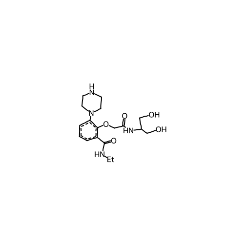 CCNC(=O)c1cccc(N2CCNCC2)c1OCC(=O)NC(CO)CO